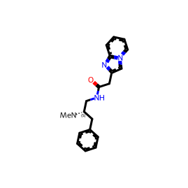 CN[C@H](CNC(=O)Cc1cn2ccccc2n1)Cc1ccccc1